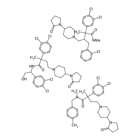 CC(CCN1CCC(N2CCCC2=O)CC1)(C(=O)NC(CO)c1ccc(Cl)c(Cl)c1)c1ccc(Cl)c(Cl)c1.CNC(=O)C(C)(c1ccc(Cl)c(Cl)c1)C(Cc1ccccc1Cl)CN1CCC(N2CCCC2=O)CC1.Cc1ccc(CN(C)C(=O)C(C)(CCN2CCC(N3CCCC3=O)CC2)c2ccc(Cl)c(Cl)c2)cc1